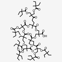 CCC(C)(CC)C(=O)OCC(C)(COC(=O)C(C)(CC)CC)C(=O)CCC(C)(COC(=O)C(C)(COC(=O)C(C)(CC)CC)COC(=O)C(C)(CC)CC)C(=O)OCC(C)(COC(=O)C(C)(CCC(=O)C(C)(COC(=O)C(C)(CC)CC)COC(=O)C(C)(CC)CC)COC(=O)C(C)(COC(=O)C(C)(CC)CC)COC(=O)C(C)(CC)CC)C(=O)O